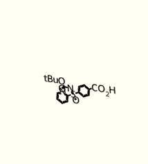 CC(C)(C)OC(=O)N=S(=O)(c1ccc(C(=O)O)cc1)c1ccccn1